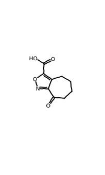 O=C1CCCCc2c1noc2C(=O)O